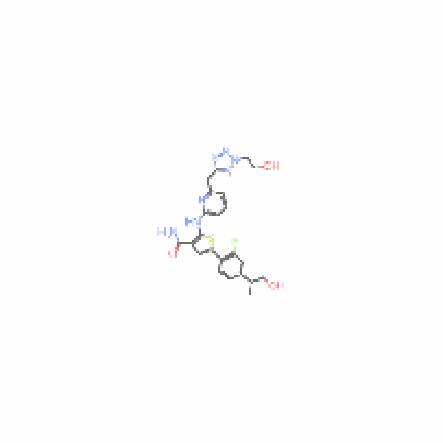 CC(CO)c1ccc(-c2cc(C(N)=O)c(Nc3cccc(Cc4nnn(CCO)n4)n3)s2)c(F)c1